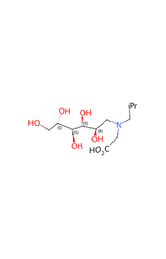 CC(C)CN(CC(=O)O)C[C@@H](O)[C@H](O)[C@@H](O)[C@@H](O)CO